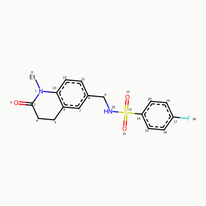 CCN1C(=O)CCc2cc(CNS(=O)(=O)c3ccc(F)cc3)ccc21